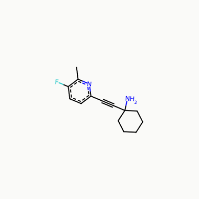 Cc1nc(C#CC2(N)CCCCC2)ccc1F